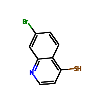 Sc1ccnc2cc(Br)ccc12